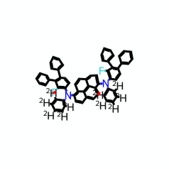 [2H]c1c([2H])c([2H])c(N(c2ccc(-c3ccccc3)c(-c3ccccc3)c2F)c2ccc3ccc4c(N(c5ccc(-c6ccccc6)c(-c6ccccc6)c5F)c5c([2H])c([2H])c([2H])c([2H])c5[2H])ccc5ccc2c3c54)c([2H])c1[2H]